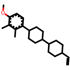 C=CC1CCC(C2CCC(c3ccc(OC)c(C)c3C)CC2)CC1